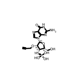 C#CCO[C@H]1[C@@H]([SH]=P(O)(O)O)[C@@H](CO)O[C@H]1n1cnc2c(=O)[nH]c(N)nc21